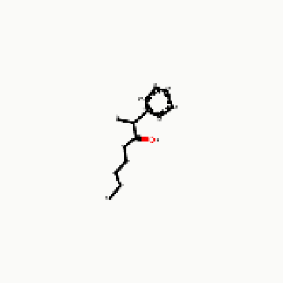 [CH2]C(C(=O)CCCCC)c1ccccc1